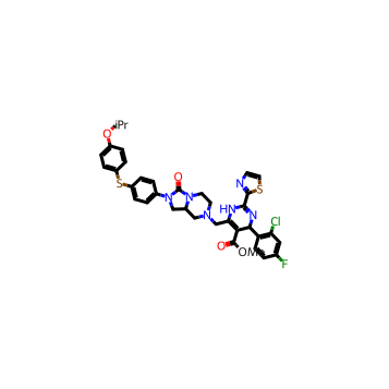 COC(=O)C1=C(CN2CCN3C(=O)N(c4ccc(Sc5ccc(OC(C)C)cc5)cc4)CC3C2)NC(c2nccs2)=NC1c1ccc(F)cc1Cl